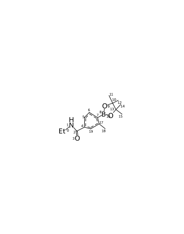 CCNC(=O)c1ccc(B2OC(C)(C)C(C)(C)O2)c(C)c1